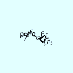 Cc1ccc(OCC2CCC(C(F)(F)Oc3cc(F)c(F)c(F)c3)CC2)c(F)c1F